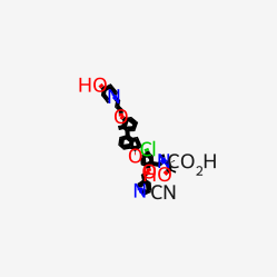 Cc1c(OCCCN2CCC(O)CC2)cccc1-c1cccc2c1CC[C@@H]2Oc1cc(OCc2cncc(C#N)c2)c(CN(C)[C@H](C(=O)O)[C@@H](C)O)cc1Cl